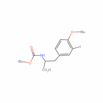 CC(C)(C)OC(=O)NC(Cc1ccc(OC(C)(C)C)c(I)c1)C(=O)O